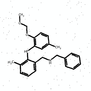 COCOc1ccc(C)cc1Pc1c(C)cccc1CNCc1ccccc1